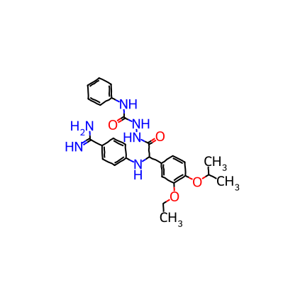 CCOc1cc(C(Nc2ccc(C(=N)N)cc2)C(=O)NNC(=O)Nc2ccccc2)ccc1OC(C)C